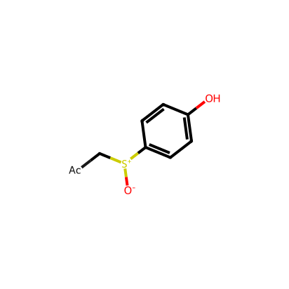 CC(=O)C[S+]([O-])c1ccc(O)cc1